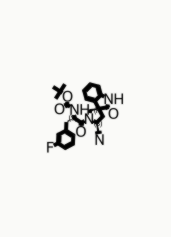 CC(C)(C)OC(=O)N[C@@H](Cc1cccc(F)c1)C(=O)N1C[C@]2(C[C@H]1C#N)C(=O)Nc1ccccc12